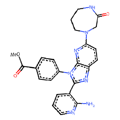 COC(=O)c1ccc(-n2c(-c3cccnc3N)nc3ccc(N4CCCNC(=O)C4)nc32)cc1